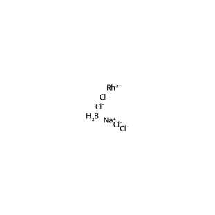 B.[Cl-].[Cl-].[Cl-].[Cl-].[Na+].[Rh+3]